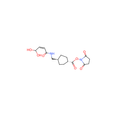 O=C(/C=C\C(O)O)NC[C@H]1CC[C@H](C(=O)ON2C(=O)CCC2=O)CC1